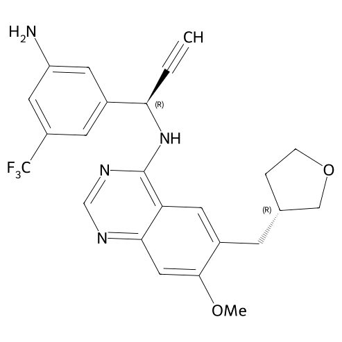 C#C[C@@H](Nc1ncnc2cc(OC)c(C[C@@H]3CCOC3)cc12)c1cc(N)cc(C(F)(F)F)c1